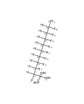 CC(=O)O[Si](OC(C)=O)(OC(C)=O)C(F)(F)C(F)(F)C(F)(F)C(F)(F)C(F)(F)C(F)(F)C(F)(F)C(F)(F)C(F)(F)C(F)(F)F